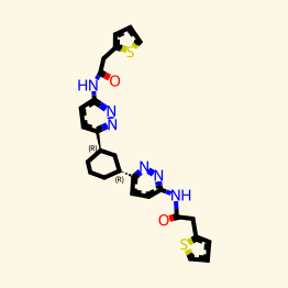 O=C(Cc1cccs1)Nc1ccc([C@@H]2CCC[C@@H](c3ccc(NC(=O)Cc4cccs4)nn3)C2)nn1